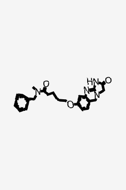 CN(Cc1ccccc1)C(=O)CCCCOc1ccc2c(c1)N=C1NC(=O)CN1C2